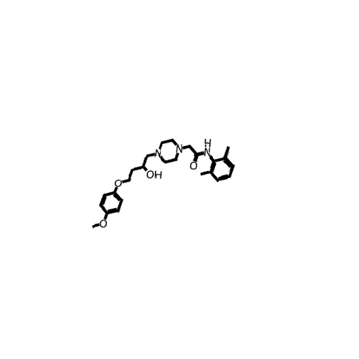 COc1ccc(OCCC(O)CN2CCN(CC(=O)Nc3c(C)cccc3C)CC2)cc1